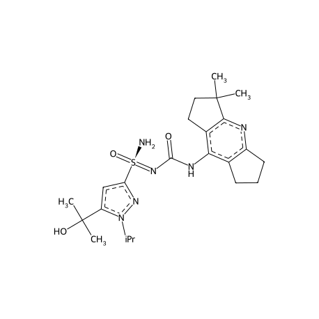 CC(C)n1nc([S@](N)(=O)=NC(=O)Nc2c3c(nc4c2CCC4(C)C)CCC3)cc1C(C)(C)O